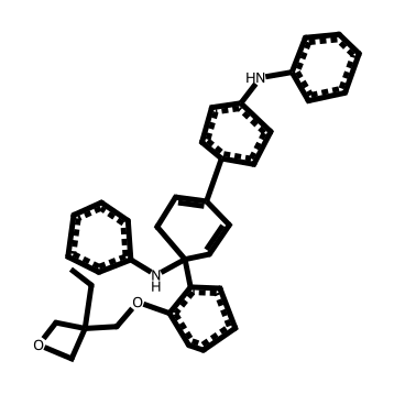 CCC1(COc2ccccc2C2(Nc3ccccc3)C=CC(c3ccc(Nc4ccccc4)cc3)=CC2)COC1